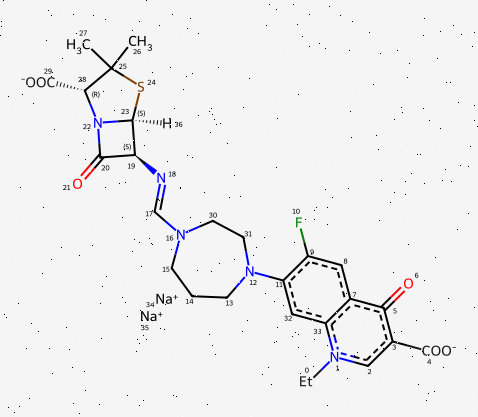 CCn1cc(C(=O)[O-])c(=O)c2cc(F)c(N3CCCN(C=N[C@H]4C(=O)N5[C@H]4SC(C)(C)[C@H]5C(=O)[O-])CC3)cc21.[Na+].[Na+]